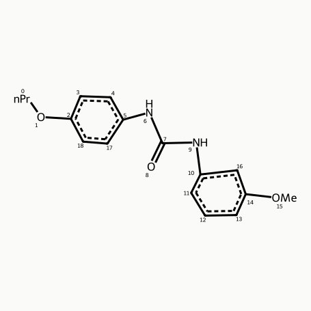 CCCOc1ccc(NC(=O)Nc2cccc(OC)c2)cc1